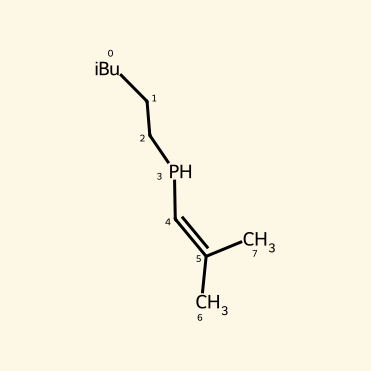 CCC(C)CCPC=C(C)C